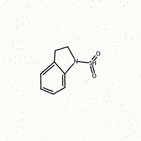 O=[SH](=O)N1CCc2ccccc21